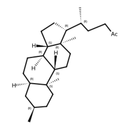 CC(=O)CC[C@@H](C)[C@H]1CC[C@H]2[C@@H]3CC[C@@H]4C[C@H](C)CC[C@]4(C)[C@H]3CC[C@]12C